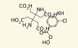 NC(CC(=O)O)(CC(=O)O)C(N)(CC(=O)O)CC(=O)O.O=C(OO)c1cccc(Cl)c1.[KH]